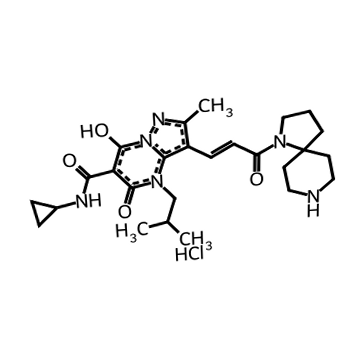 Cc1nn2c(O)c(C(=O)NC3CC3)c(=O)n(CC(C)C)c2c1/C=C/C(=O)N1CCCC12CCNCC2.Cl